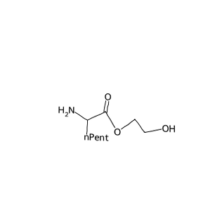 CCCCCC(N)C(=O)OCCO